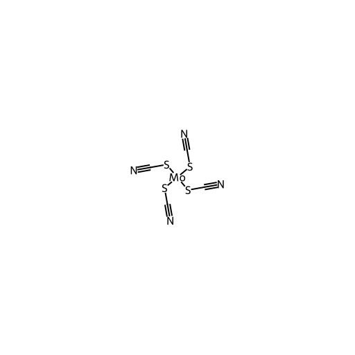 N#C[S][Mo]([S]C#N)([S]C#N)[S]C#N